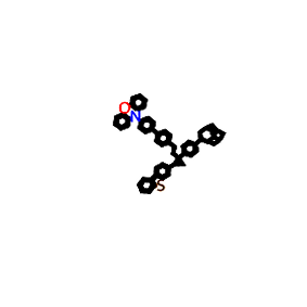 c1ccc2c(c1)Oc1ccccc1N2c1ccc(-c2ccc(CCC3(c4ccc(C56CC7CC8CC(C5)C8(C7)C6)cc4)CC3c3ccc4c(c3)sc3ccccc34)cc2)cc1